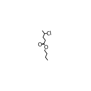 CCCCOC(=O)CCC(C)Cl